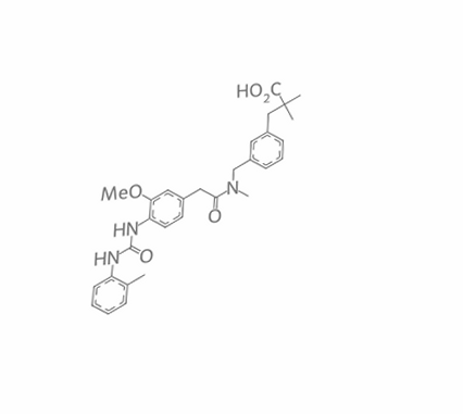 COc1cc(CC(=O)N(C)Cc2cccc(CC(C)(C)C(=O)O)c2)ccc1NC(=O)Nc1ccccc1C